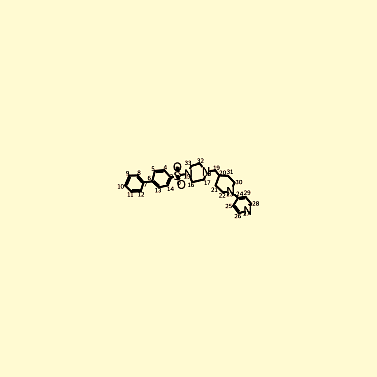 O=S(=O)(c1ccc(-c2ccccc2)cc1)N1CCN(CC2CCN(c3ccncc3)CC2)CC1